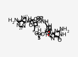 CO[C@H]1[C@H]2O[PH](=S)OC[C@@]34C[C@@]5(O[C@H](C35)[C@H](n3cnc5c(N)ncnc53)O4)S(=O)(=O)NC[C@H]1O[C@H]2n1cnc2c(=O)[nH]c(N)nc21